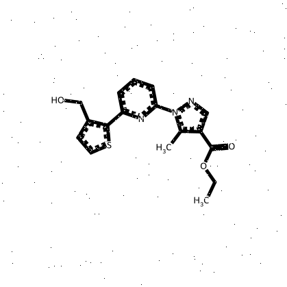 CCOC(=O)c1cnn(-c2cccc(-c3sccc3CO)n2)c1C